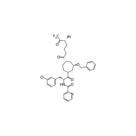 CC(C)[C@H](CCCC(=O)[C@H]1CCC(C(=O)[C@H](Cc2cccc(Cl)c2)NC(=O)c2ccccn2)C[C@H](OCc2ccccc2)C1)C(=O)C(F)(F)F